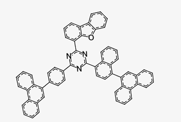 c1ccc2c(c1)cc(-c1ccc(-c3nc(-c4ccc(-c5cc6ccccc6c6ccccc56)c5ccccc45)nc(-c4cccc5c4oc4ccccc45)n3)cc1)c1ccccc12